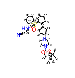 CC(C)[Si](OC(=O)N1CCN(c2ccc(-c3ccccc3SC3(C(=O)NCC#N)CCCCC3)cc2)CC1)(C(C)C)C(C)C